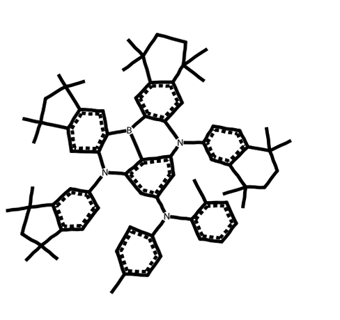 Cc1ccc(N(c2cc3c4c(c2)N(c2ccc5c(c2)C(C)(C)CC5(C)C)c2cc5c(cc2B4c2cc4c(cc2N3c2ccc3c(c2)C(C)(C)CCC3(C)C)C(C)(C)CCC4(C)C)C(C)(C)CC5(C)C)c2ccccc2C)cc1